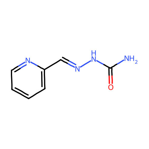 NC(=O)N/N=C/c1ccccn1